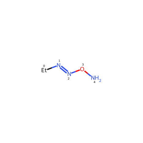 CCN=NON